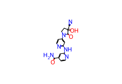 N#C[C@@]1(O)CCN(c2ccnc(Nc3cc(C(N)=O)ccn3)c2)C1=O